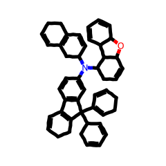 C1=CCC(C2(C3=CCCC=C3)C3=C(C=CCC3)c3ccc(N(C4C=CC5=C(C=CCC5)C4)C4CC=CC5OC6C=CC=CC6C54)cc32)C=C1